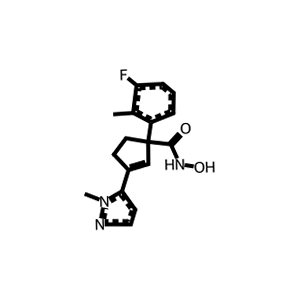 Cc1c(F)cccc1C1(C(=O)NO)C=C(c2ccnn2C)CC1